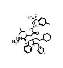 CC(C)C[C@@H](C(=O)NN)[C@H](C(=O)NO)C(CCC1CCCCC1)(Cc1ccccc1)C(=O)Cn1ccnc1.Cc1ccc(S(=O)(=O)O)cc1